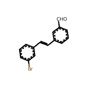 O=Cc1cccc(C=Cc2cccc(Br)c2)c1